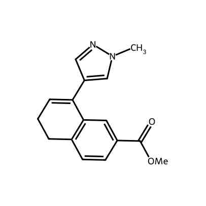 COC(=O)c1ccc2c(c1)C(c1cnn(C)c1)=CCC2